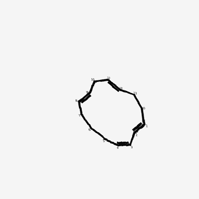 [CH]1/C=C/C=C\CCC/C=C/C/C=C/C1